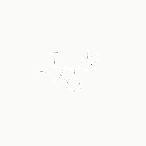 CC1(C)OB(c2cn(C(C3CC3)C3CC3)c(=O)c3ccccc23)OC1(C)C